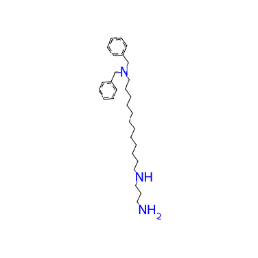 NCCCNCCCCCCCCCCCCN(Cc1ccccc1)Cc1ccccc1